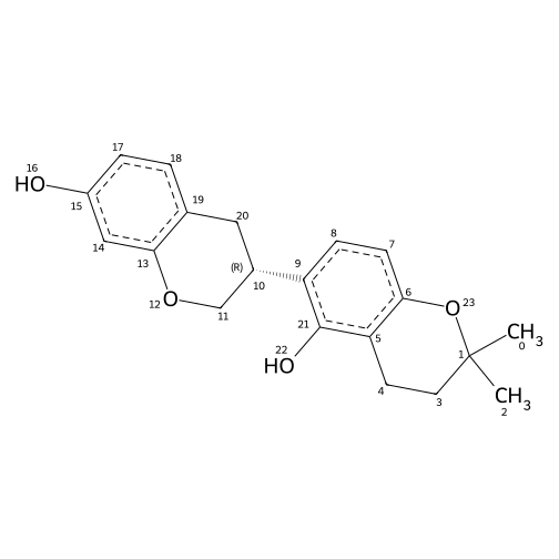 CC1(C)CCc2c(ccc([C@@H]3COc4cc(O)ccc4C3)c2O)O1